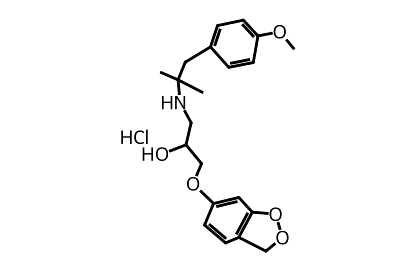 COc1ccc(CC(C)(C)NCC(O)COc2ccc3c(c2)OOC3)cc1.Cl